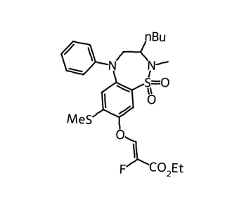 CCCCC1CN(c2ccccc2)c2cc(SC)c(O/C=C(\F)C(=O)OCC)cc2S(=O)(=O)N1C